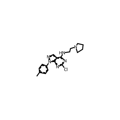 Cc1ccc(-n2ncc3c(NCCN4CCCC4)nc(Cl)nc32)cc1